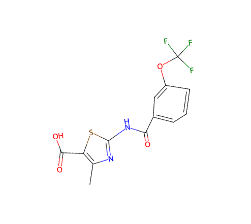 Cc1nc(NC(=O)c2cccc(OC(F)(F)F)c2)sc1C(=O)O